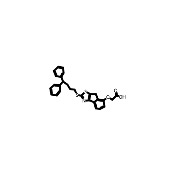 O=C(O)COc1cccc2c1Cc1sc(SCCCC(c3ccccc3)c3ccccc3)nc1-2